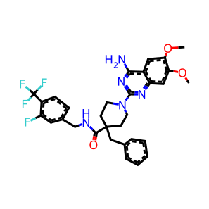 COc1cc2nc(N3CCC(Cc4ccccc4)(C(=O)NCc4ccc(C(F)(F)F)c(F)c4)CC3)nc(N)c2cc1OC